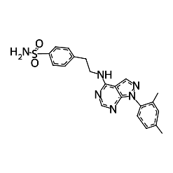 Cc1ccc(-n2ncc3c(NCCc4ccc(S(N)(=O)=O)cc4)ncnc32)c(C)c1